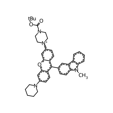 Cn1c2ccccc2c2cc(-c3c4ccc(=[N+]5CCN(C(=O)OC(C)(C)C)CC5)cc-4oc4cc(N5CCCCC5)ccc34)ccc21